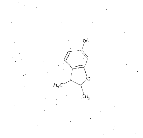 CC1Oc2cc(O)ccc2C1C